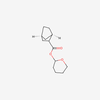 O=C(OC1CCCCO1)C1C[C@H]2CC[C@@H]1C2